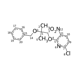 CC(C)(COc1nc(Cl)ccc1[N+](=O)[O-])OCc1ccccc1